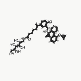 CC(CCCCC(=O)NC[C@H](O)[C@@H](O)[C@H](O)[C@H](O)CO)c1ccc(Cl)c(CNC2(c3cnccc3-c3ccccc3OC3CC3)CC2)c1